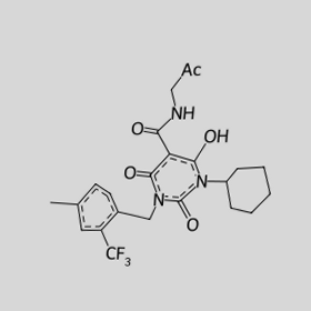 CC(=O)CNC(=O)c1c(O)n(C2CCCCC2)c(=O)n(Cc2ccc(C)cc2C(F)(F)F)c1=O